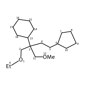 CCOCC(CCC1CCCC1)(COC)C1CCCCC1